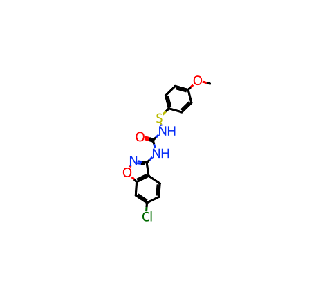 COc1ccc(SNC(=O)Nc2noc3cc(Cl)ccc23)cc1